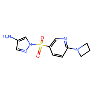 Nc1cnn(S(=O)(=O)c2ccc(N3CCC3)nc2)c1